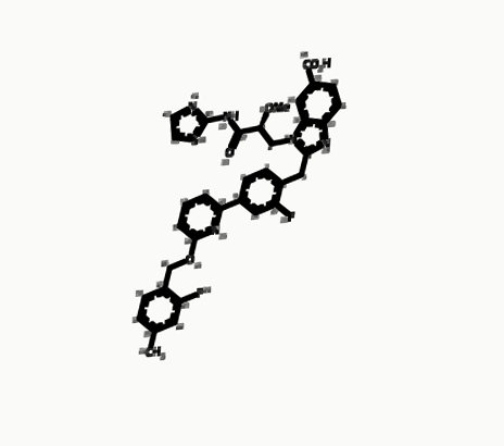 CO[C@@H](Cn1c(Cc2ccc(-c3cccc(OCc4ccc(C)cc4F)n3)cc2F)nc2ccc(C(=O)O)cc21)C(=O)Nc1nccs1